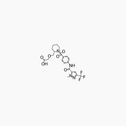 Cn1nc(C(F)(F)F)cc1C(=O)Nc1ccc(S(=O)(=O)N2CCCCC2COCC(=O)O)cc1